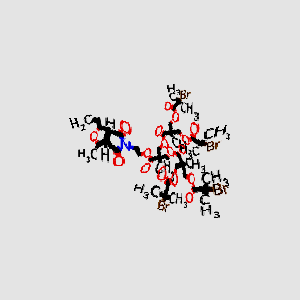 C=CC1OC(C)[C@H]2C(=O)N(CCOC(=O)C(C)(COC(=O)C(C)(COC(=O)C(C)(C)Br)COC(=O)C(C)(C)Br)COC(=O)C(C)(COC(=O)C(C)(C)Br)COC(=O)C(C)(C)Br)C(=O)[C@@H]12